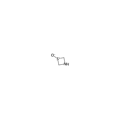 [O-][S+]1CNC1